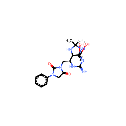 CC1(C)NC2[C@H](CN3C(=O)CN(c4ccccc4)C3=O)NC(=N)N3CCC(O)(O)C23N1